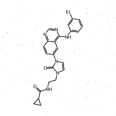 CCc1cccc(Nc2ncnc3ccc(-n4ccn(CCNC(=O)C5CC5)c4=O)cc23)c1